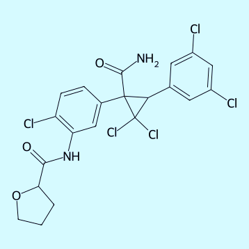 NC(=O)C1(c2ccc(Cl)c(NC(=O)C3CCCO3)c2)C(c2cc(Cl)cc(Cl)c2)C1(Cl)Cl